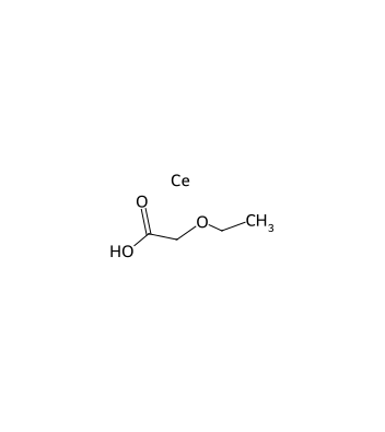 CCOCC(=O)O.[Ce]